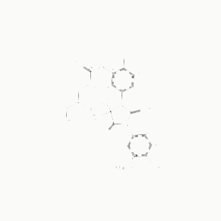 COc1cc(N2C(=O)C(C)(C)N(c3ccc(Cl)c(NC(=O)OCC(O)CO)c3)C2=S)ccc1C#N